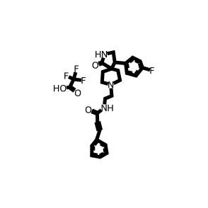 O=C(C#Cc1ccccc1)NCCN1CCC2(CC1)C(=O)NCC2c1ccc(F)cc1.O=C(O)C(F)(F)F